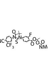 CNC(=O)OC(C)OC(=O)c1ccc(N2C(=S)N(c3ccc(C#N)c(C(F)(F)F)c3)C(=O)C2(C)C)cc1F